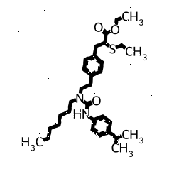 CCCCCCCN(CCc1ccc(CC(SCC)C(=O)OCC)cc1)C(=O)Nc1ccc(C(C)C)cc1